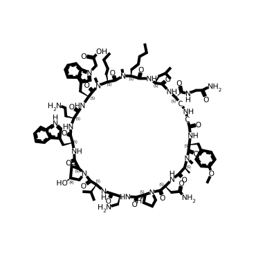 CCCCC[C@H]1C(=O)N[C@@H](CC(C)C)C(=O)N[C@H](C(=O)NCC(N)=O)CNCC(=O)N[C@@H](Cc2ccc(OC)cc2)C(=O)N(C)[C@@H](C)C(=O)N[C@@H](CC(N)=O)C(=O)N2CCC[C@H]2C(=O)N[C@@H](CN)C(=O)N[C@@H](C(C)C)C(=O)N2C[C@H](O)C[C@H]2C(=O)N[C@@H](Cc2c[nH]c3ccccc23)C(=O)N[C@@H](CCN)C(=O)N[C@@H](Cc2cn(CC(=O)O)c3ccccc23)C(=O)N(C)[C@@H](CCCC)C(=O)N1C